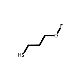 FOCCCS